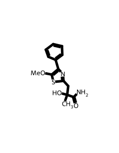 COc1sc(CC(C)(O)C(N)=O)nc1-c1ccccc1